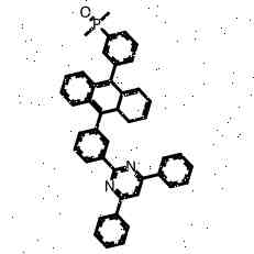 CP(C)(=O)c1cccc(C2=c3ccccc3=C(c3cccc(-c4nc(-c5ccccc5)cc(-c5ccccc5)n4)c3)C3CC=CC=C23)c1